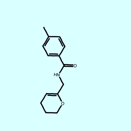 Cc1ccc(C(=O)NCC2=CCCCO2)cc1